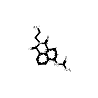 CCCN1C(=O)c2cccc3c(NC(C)=O)ccc(c23)C1=O